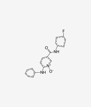 O=C(Nc1ccc(F)cc1)c1ccc(Nc2ccccc2)[n+]([O-])c1